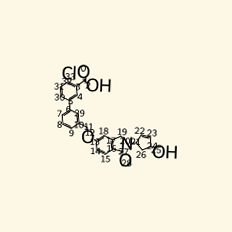 O=C(O)c1cc(-c2cccc(COc3ccc4c(c3)CN(C3C=CC(O)C3)C4=O)c2)ccc1Cl